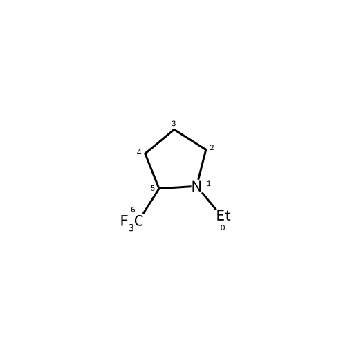 [CH2]CN1CCCC1C(F)(F)F